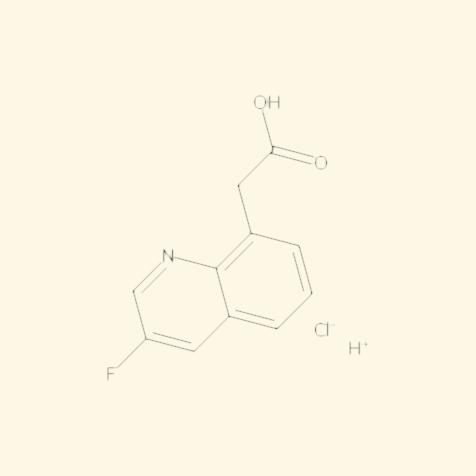 O=C(O)Cc1cccc2cc(F)cnc12.[Cl-].[H+]